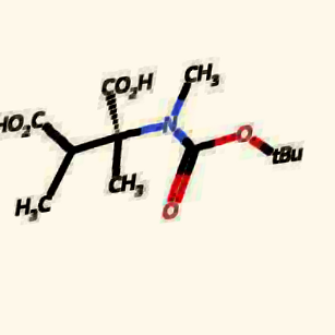 CC(C(=O)O)[C@@](C)(C(=O)O)N(C)C(=O)OC(C)(C)C